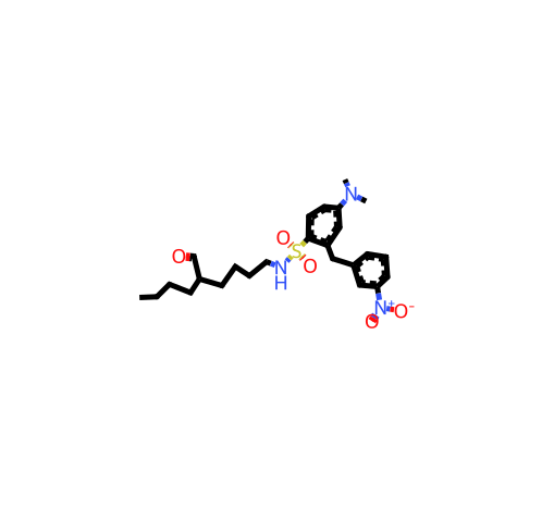 CCCCC(C=O)CCCCNS(=O)(=O)c1ccc(N(C)C)cc1Cc1cccc([N+](=O)[O-])c1